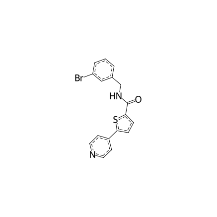 O=C(NCc1cccc(Br)c1)c1ccc(-c2ccncc2)s1